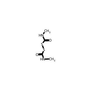 CNC(=O)SSC(=O)NC